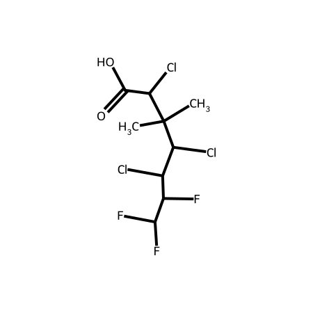 CC(C)(C(Cl)C(=O)O)C(Cl)C(Cl)C(F)C(F)F